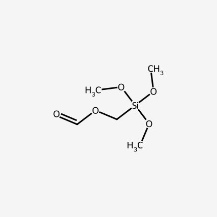 CO[Si](COC=O)(OC)OC